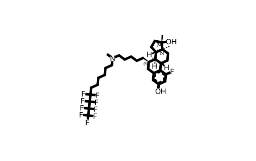 CN(CCCCCCC(F)(F)C(F)(F)C(F)(F)C(F)(F)F)CCCCC[C@@H]1Cc2cc(O)cc(F)c2[C@H]2CC[C@@]3(C)[C@@H](CC[C@]3(C)O)[C@H]12